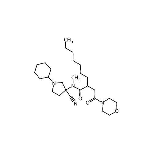 CCCCCCCC(CC(=O)N1CCOCC1)C(=O)N(C)C1(C#N)CCN(C2CCCCC2)C1